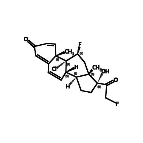 C[C@]12C=CC(=O)C=C1C=C[C@H]1[C@@H]3CC[C@](O)(C(=O)CF)[C@@]3(C)C[C@H](F)[C@@]12Cl